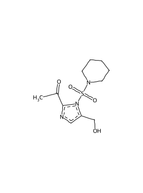 CC(=O)c1ncc(CO)n1S(=O)(=O)N1CCCCC1